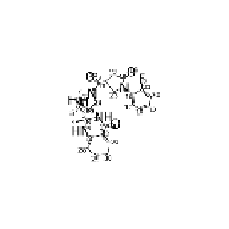 O=C1N[C@]2(CC[C@@H]3CN(C(=O)C4CC(=O)N(c5ccccc5F)C4)C[C@@H]32)Nc2ccccc21